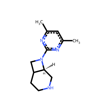 Cc1cc(C)nc(N2CC3CCNC[C@@H]32)n1